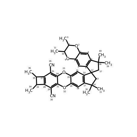 CC1Oc2cc3c(cc2OC1C)C1(CC(C)(C)c2cc4c(cc21)Oc1c(C#N)c2c(c(C#N)c1O4)C(C)C2C)CC3(C)C